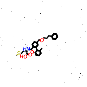 CSCC[C@H](NC(=O)c1ccc(COCCCc2ccccc2)cc1-c1ccccc1C)C(=O)O